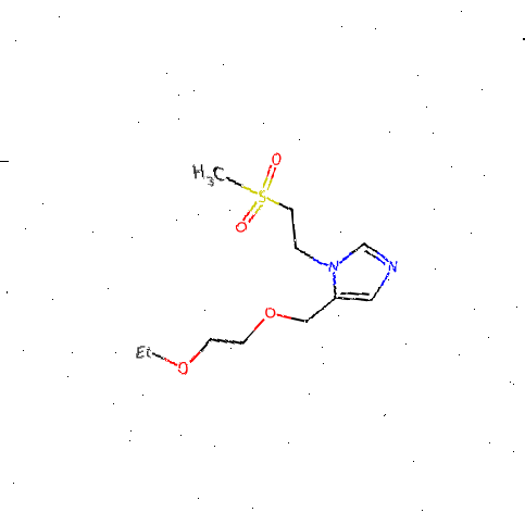 CCOCCOCc1cncn1CCS(C)(=O)=O